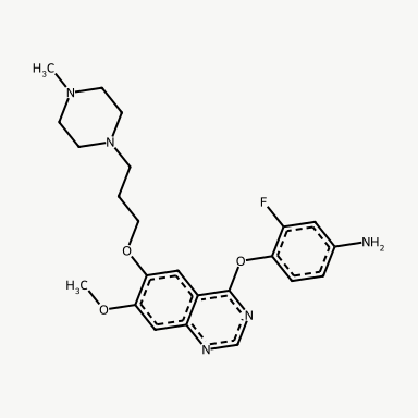 COc1cc2ncnc(Oc3ccc(N)cc3F)c2cc1OCCCN1CCN(C)CC1